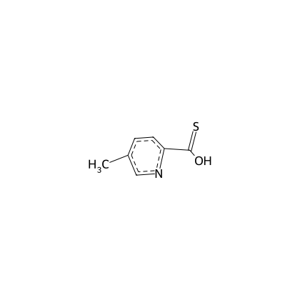 Cc1ccc(C(O)=S)nc1